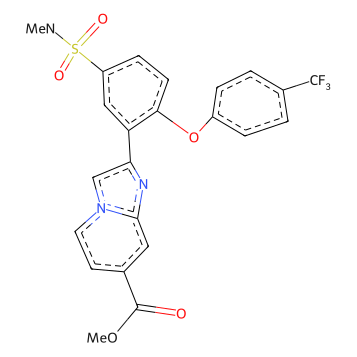 CNS(=O)(=O)c1ccc(Oc2ccc(C(F)(F)F)cc2)c(-c2cn3ccc(C(=O)OC)cc3n2)c1